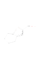 OCc1cc2c(s1)CCCC2